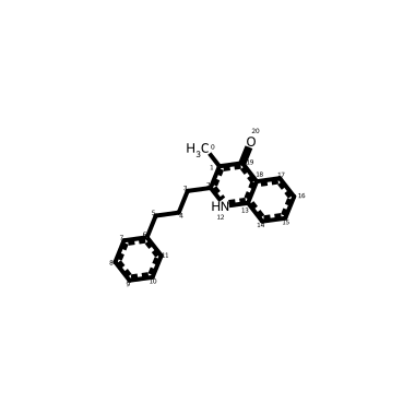 Cc1c(CCCc2ccccc2)[nH]c2ccccc2c1=O